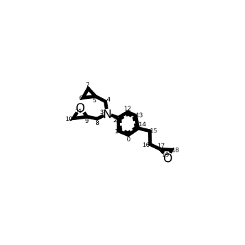 c1cc(N(CC2CC2)CC2CO2)ccc1CCC1CO1